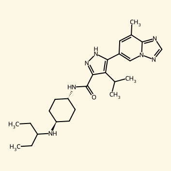 CCC(CC)N[C@H]1CC[C@H](NC(=O)c2n[nH]c(-c3cc(C)c4ncnn4c3)c2C(C)C)CC1